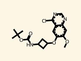 COc1cc2ncnc(Cl)c2cc1OC1CC(NC(=O)OC(C)(C)C)C1